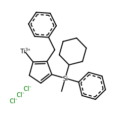 C[Si](C1=CC[C]([Ti+3])=C1Cc1ccccc1)(c1ccccc1)C1CCCCC1.[Cl-].[Cl-].[Cl-]